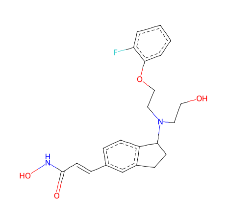 O=C(/C=C/c1ccc2c(c1)CCC2N(CCO)CCOc1ccccc1F)NO